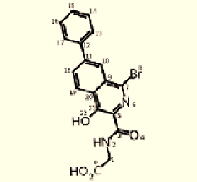 O=C(O)CNC(=O)c1nc(Br)c2cc(-c3ccccc3)ccc2c1O